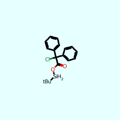 CC(C)(C)[SiH2]OC(=O)C(Cl)(c1ccccc1)c1ccccc1